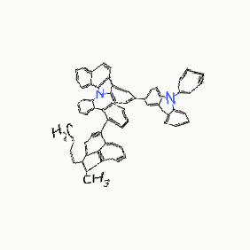 C=C/C=C\C1=C(C)c2cccc3c(-c4ccccc4-c4ccccc4-n4c5ccc(-c6ccc7c(c6)c6ccccc6n7-c6ccccc6)cc5c5ccc6ccccc6c54)ccc1c23